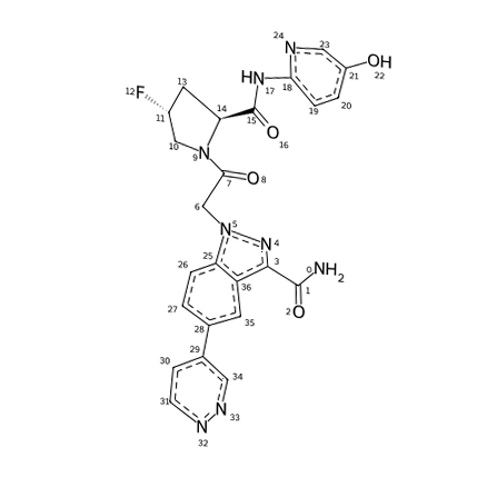 NC(=O)c1nn(CC(=O)N2C[C@H](F)C[C@H]2C(=O)Nc2ccc(O)cn2)c2ccc(-c3ccnnc3)cc12